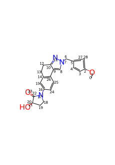 COc1ccc(Cn2cc3c(n2)CCc2cc(N4CC[C@@H](O)C4=O)ccc2-3)cc1